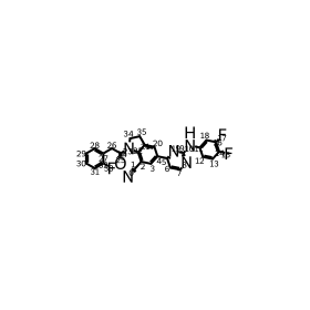 N#Cc1cc(-c2ccnc(Nc3ccc(F)c(F)c3)n2)cc2c1N(C(=O)Cc1ccccc1F)CC2